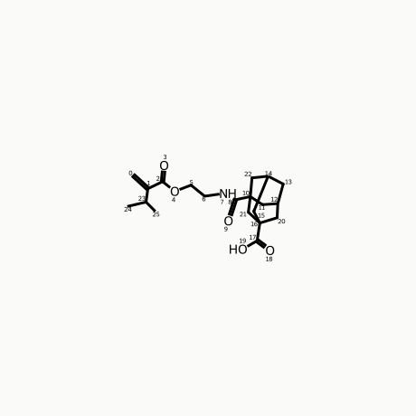 C=C(C(=O)OCCNC(=O)C12CC3CC(CC(C(=O)O)(C3)C1)C2)C(C)C